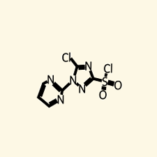 O=S(=O)(Cl)c1nc(Cl)n(-c2ncccn2)n1